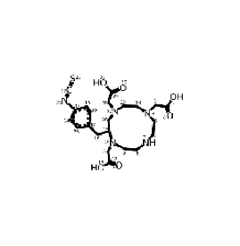 O=C(O)CN1CCNCCN(CC(=O)O)C(Cc2ccc(N=C=S)cc2)CN(CC(=O)O)CC1